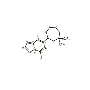 CC1(C)CCCCC(c2nc(I)n3nccc3n2)C1